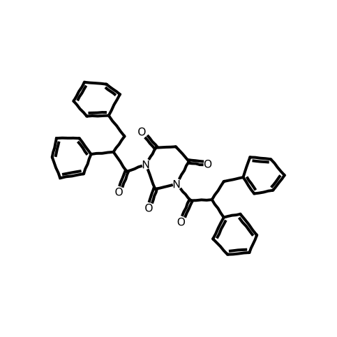 O=C1CC(=O)N(C(=O)C(Cc2ccccc2)c2ccccc2)C(=O)N1C(=O)C(Cc1ccccc1)c1ccccc1